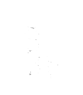 NCc1cc(C(Cc2ccccc2)=NO)cc(Br)c1O